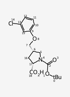 CC(C)(C)OC(=O)N1C[C@@H](COc2cccc(Cl)c2)C[C@H]1C(=O)O